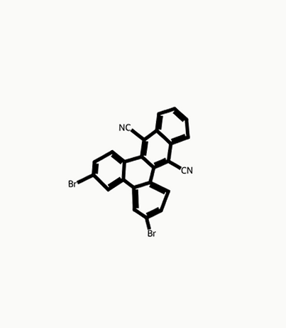 N#Cc1c2ccccc2c(C#N)c2c3ccc(Br)cc3c3cc(Br)ccc3c12